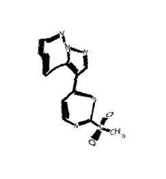 CS(=O)(=O)c1nccc(-c2cnn3ncccc23)n1